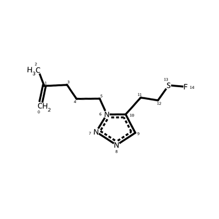 C=C(C)CCCn1nncc1CCSF